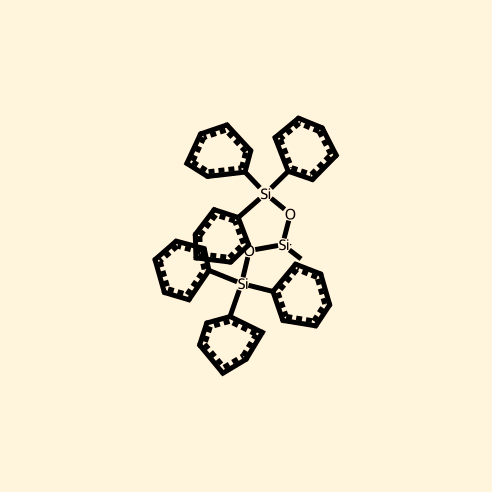 C[Si](O[Si](c1ccccc1)(c1ccccc1)c1ccccc1)O[Si](c1ccccc1)(c1ccccc1)c1ccccc1